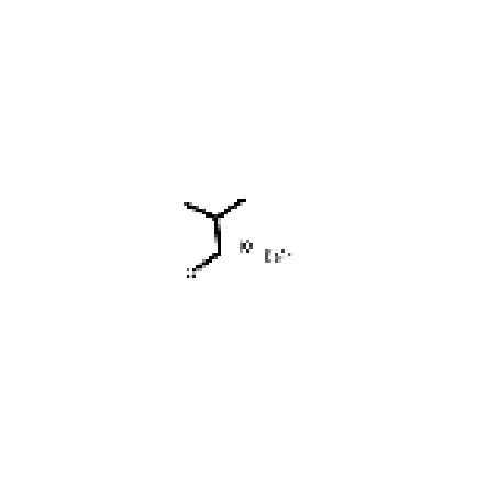 CC(C)C[O-].[Ba+2].[OH-]